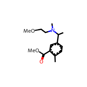 COCCN(C)C(C)c1ccc(C)c(C(=O)OC)c1